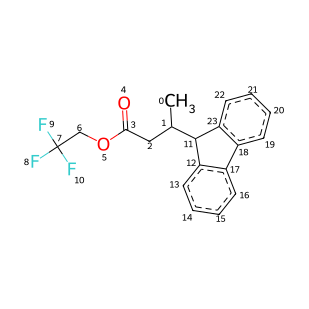 CC(CC(=O)OCC(F)(F)F)C1c2ccccc2-c2ccccc21